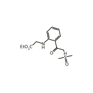 CCOC(=O)CNc1ccccc1C(=O)C[SH](C)(C)=O